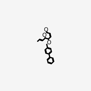 CC=CC1OC(=O)C=CC1OCc1ccc(-c2ccccc2)cc1